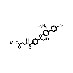 COC(=O)CCNC(=O)c1ccc(C(CC(C)C)Oc2ccc(-c3ccc(C(C)C)cc3)c(/C=N\O)c2)cc1